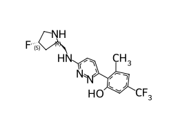 Cc1cc(C(F)(F)F)cc(O)c1-c1ccc(NC[C@H]2C[C@H](F)CN2)nn1